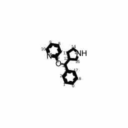 c1ccc([C@@H](Oc2ccccn2)C2CCNC2)cc1